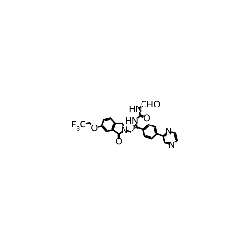 O=CNC(=O)N[C@@H](CN1Cc2ccc(OCC(F)(F)F)cc2C1=O)c1ccc(-c2cnccn2)cc1